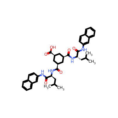 CC(C)C[C@H](NC(=O)[C@@H]1C[C@H](C(=O)O)C[C@H](C(=O)N[C@@H](CC(C)C)C(=O)Nc2ccc3ccccc3c2)C1)C(=O)Nc1ccc2ccccc2c1